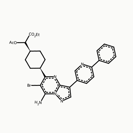 CCOC(=O)C(OC(C)=O)[C@H]1CC[C@@H](c2nc3c(-c4ccc(-c5ccccc5)nc4)cnn3c(N)c2Br)CC1